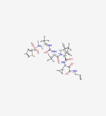 C=CCNC(=O)C(=O)C(NC(=O)[C@@H]1[C@@H]2[C@H](CN1C(=O)[C@@H](NC(=O)N[C@H](CN(C)S(=O)(=O)c1cccs1)C(C)(C)C)C(C)(C)C)C2(C)C)C1CC1